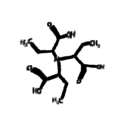 CC[CH](C(=O)O)[Al]([CH](CC)C(=O)O)[CH](CC)C(=O)O